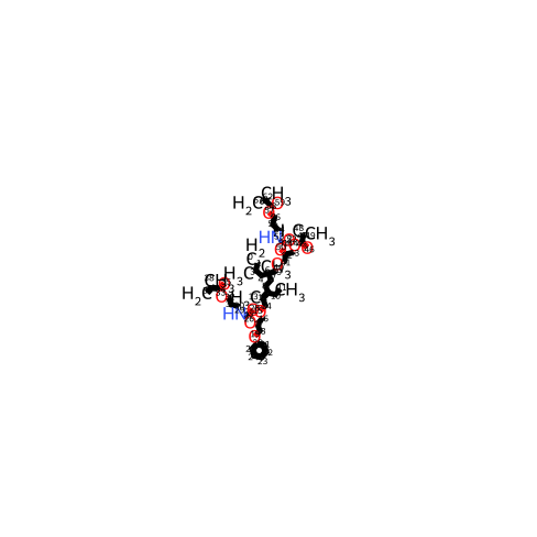 C=CC(C)CC(C)(CC/C(CC)=C(\C)COCC(COc1ccccc1)OC(=O)NCCCOC(=O)C(=C)C)COCC(COC(=O)C(=C)C)OC(=O)NCCCOC(=O)C(=C)C